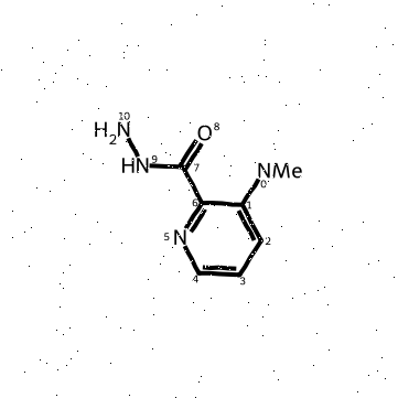 CNc1cccnc1C(=O)NN